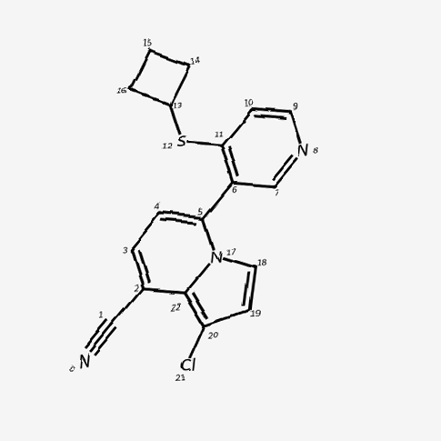 N#Cc1ccc(-c2cnccc2SC2CCC2)n2ccc(Cl)c12